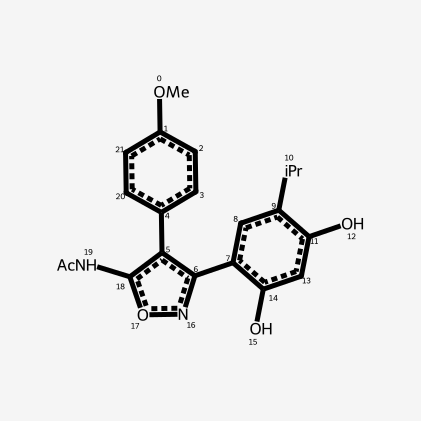 COc1ccc(-c2c(-c3cc(C(C)C)c(O)cc3O)noc2NC(C)=O)cc1